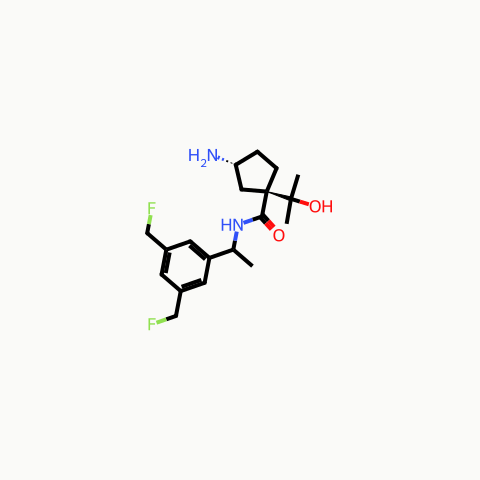 CC(NC(=O)[C@@]1(C(C)(C)O)CC[C@@H](N)C1)c1cc(CF)cc(CF)c1